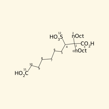 CCCCCCCCC(CCCCCCCC)(C(=O)O)C(CCCCCCC(=O)O)S(=O)(=O)O